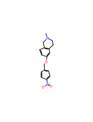 CN1CCc2cc(OCc3ccc([N+](=O)[O-])cc3)ccc2C1